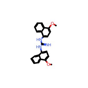 COc1ccc(NC(=N)Nc2ccc(OC)c3ccccc23)c2ccccc12